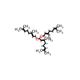 CC(C)=CCC/C(C)=C/COC(/C=C(\C)CCC=C(C)C)OC/C=C(\C)CCC=C(C)C